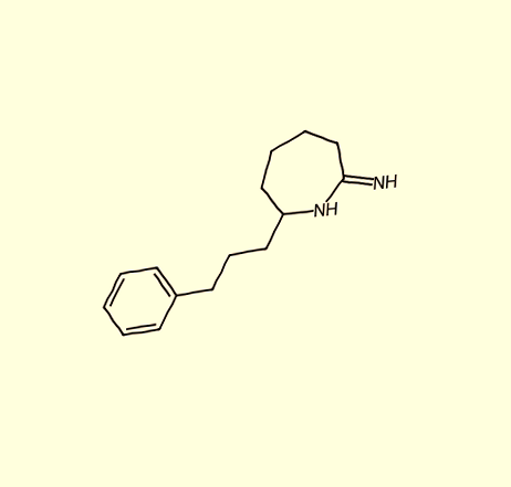 N=C1CCCCC(CCCc2ccccc2)N1